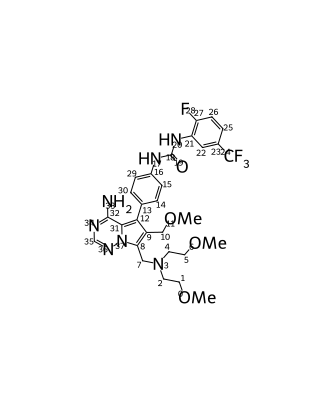 COCCN(CCOC)Cc1c(COC)c(-c2ccc(NC(=O)Nc3cc(C(F)(F)F)ccc3F)cc2)c2c(N)ncnn12